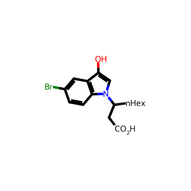 CCCCCCC(CC(=O)O)n1cc(O)c2cc(Br)ccc21